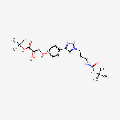 CC(C)(C)OC(=O)NCCCn1cnc(-c2ccc(OC[C@@H](O)C(=O)OC(C)(C)C)cc2)c1